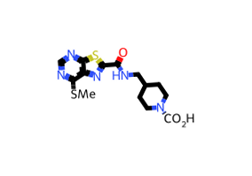 CSc1ncnc2sc(C(=O)NCC3CCN(C(=O)O)CC3)nc12